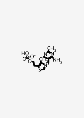 Cc1ncc(C[n+]2csc(CCO[P@@](=O)([O-])O)c2C)c(N)n1